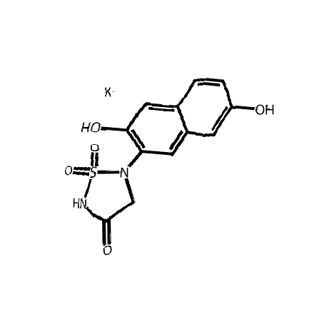 O=C1CN(c2cc3cc(O)ccc3cc2O)S(=O)(=O)N1.[K]